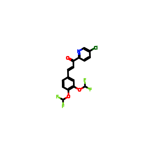 O=C(/C=C/c1ccc(OC(F)F)c(OC(F)F)c1)c1ccc(Cl)cn1